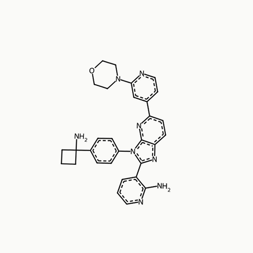 Nc1ncccc1-c1nc2ccc(-c3ccnc(N4CCOCC4)c3)nc2n1-c1ccc(C2(N)CCC2)cc1